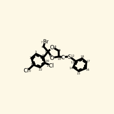 Clc1ccc(C2(CBr)OCC(CSc3ccccc3)O2)c(Cl)c1